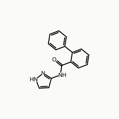 O=C(Nc1cc[nH]n1)c1ccccc1-c1ccccc1